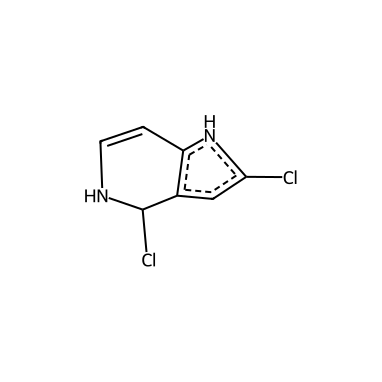 Clc1cc2c([nH]1)C=CNC2Cl